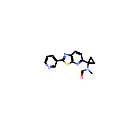 CN(C=O)C1(c2ccc3nc(-c4cccnc4)sc3n2)CC1